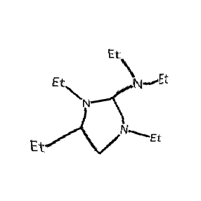 CCC1CN(CC)C(N(CC)CC)N1CC